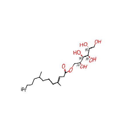 CC(=CCC(=O)OC[C@H](O)[C@@H](O)[C@H](O)[C@H](O)CO)CCCC(C)CCCC(C)C